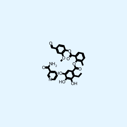 CCc1c(C(=O)Oc2c(C)cccc2C(=O)Oc2ccc(C=O)cc2OC)cc(O)c(O)c1O.NC(=O)c1cccnc1